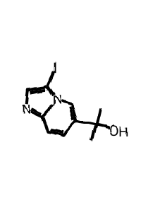 CC(C)(O)c1ccc2ncc(I)n2c1